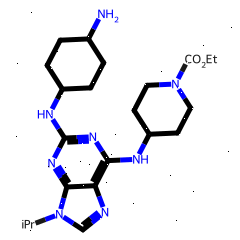 CCOC(=O)N1CCC(Nc2nc(NC3CCC(N)CC3)nc3c2ncn3C(C)C)CC1